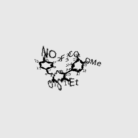 CCC1SC(=O)N(Cc2ccc([N+](=O)[O-])cc2)N=C1c1ccc(OC)c(OC(F)(F)F)c1